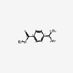 C=C(SCC)c1ccc(C(CCC)C(C)(C)C)cc1